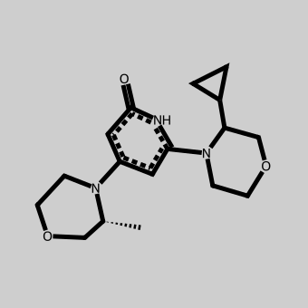 C[C@@H]1COCCN1c1cc(N2CCOCC2C2CC2)[nH]c(=O)c1